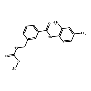 CC(C)(C)OC(=O)NCc1cccc(C(=O)Nc2ccc(C(F)(F)F)cc2N)c1